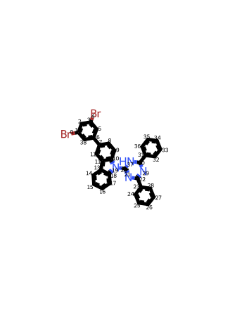 Brc1cc(Br)cc(-c2ccc3c(c2)c2ccccc2n3C2=NC(c3ccccc3)=NC(c3ccccc3)N2)c1